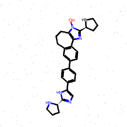 On1c([C@H]2BCCC2)nc2c1CCCc1cc(-c3ccc(-c4cnc([C@@H]5CCCN5)[nH]4)cc3)ccc1-2